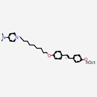 CCCCCCCCOc1ccc(/C=C/c2ccc(OCCCCCCCCC[n+]3ccc(N(C)C)cc3)cc2)cc1